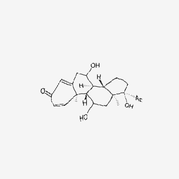 CC(=O)[C@@]1(O)CC[C@H]2[C@@H]3C(O)CC4=CC(=O)C=C[C@]4(C)[C@H]3C(O)C[C@@]21C